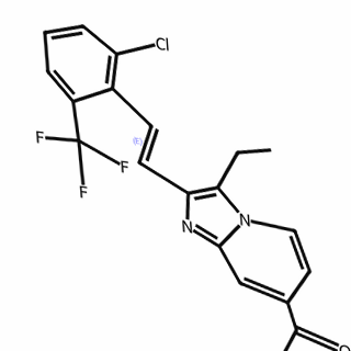 CCc1c(/C=C/c2c(Cl)cccc2C(F)(F)F)nc2cc(C(=O)O)ccn12